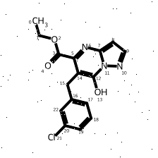 CCOC(=O)c1nc2ccnn2c(O)c1Cc1cccc(Cl)c1